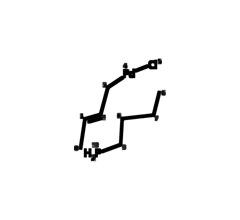 CC=C[CH2][Pd][Cl].CCCCP